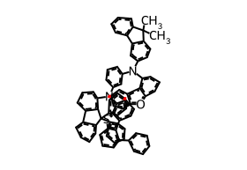 CC1(C)c2ccccc2-c2cc(N(c3cccc(N(c4cccc5c4C(c4ccccc4)(c4ccccc4)c4ccccc4-5)c4cccc5c4sc4cccc(-c6ccccc6)c45)c3)c3cccc4oc5ccccc5c34)ccc21